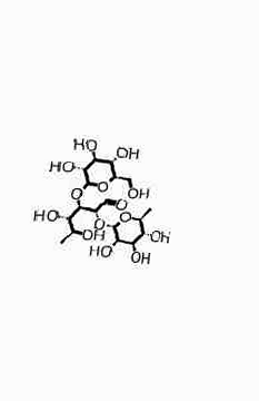 C[C@H](O)[C@H](O)[C@@H](OC1O[C@H](CO)[C@@H](O)[C@H](O)[C@H]1O)[C@H](C=O)O[C@@H]1O[C@@H](C)[C@H](O)[C@@H](O)[C@H]1O